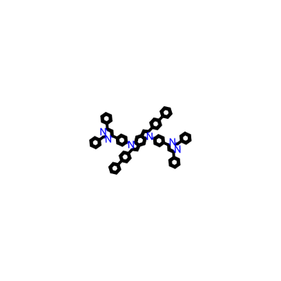 c1ccc(-c2ccc(-c3cc4cc5c(cc(-c6ccc(-c7ccccc7)cc6)n5-c5ccc(-c6cc(-c7ccccc7)nc(-c7ccccc7)n6)cc5)cc4n3-c3ccc(-c4cc(-c5ccccc5)nc(-c5ccccc5)n4)cc3)cc2)cc1